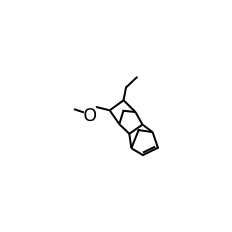 CCC1C(COC)C2CC1C1C3C=CC(C3)C21